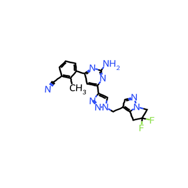 Cc1c(C#N)cccc1-c1cc(-c2cn(Cc3cnn4c3CC(F)(F)C4)nn2)nc(N)n1